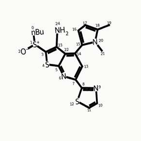 CCCC[S+]([O-])c1sc2nc(-c3nccs3)cc(-c3ccc(C)n3C)c2c1N